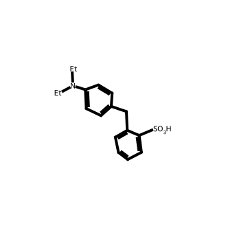 CCN(CC)c1ccc(Cc2ccccc2S(=O)(=O)O)cc1